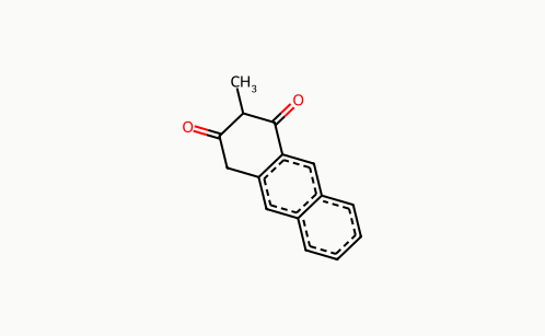 CC1C(=O)Cc2cc3ccccc3cc2C1=O